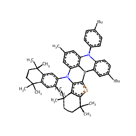 Cc1cc2c3c(c1)N(c1cc4c(cc1C)C(C)(C)CCC4(C)C)c1c(sc4c1C(C)(C)CCC4(C)C)B3c1cc(C(C)(C)C)ccc1N2c1ccc(C(C)(C)C)cc1